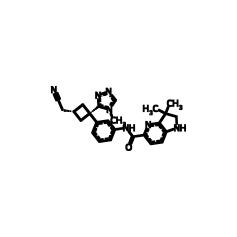 Cn1cnnc1[C@]1(c2cccc(NC(=O)c3ccc4c(n3)C(C)(C)CN4)c2)C[C@H](CC#N)C1